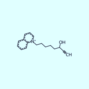 C#CC(O)CCCCC[n+]1cccc2ccccc21